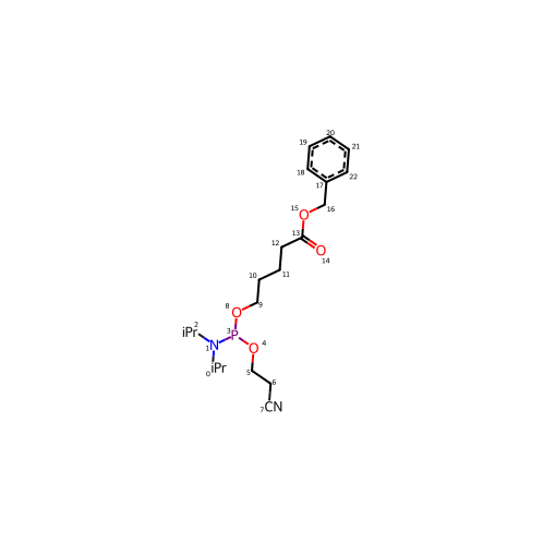 CC(C)N(C(C)C)P(OCCC#N)OCCCCC(=O)OCc1ccccc1